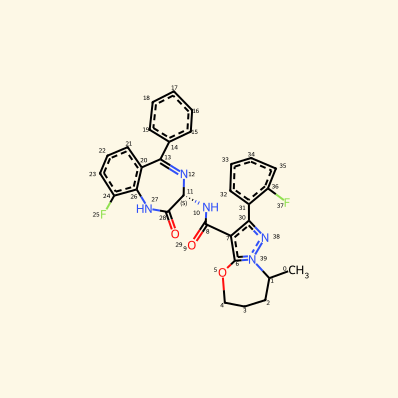 CC1CCCOc2c(C(=O)N[C@H]3N=C(c4ccccc4)c4cccc(F)c4NC3=O)c(-c3ccccc3F)nn21